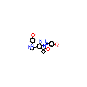 COc1ccc(CN2C(=O)C3(CCC3)c3cc(-c4ccnn4-c4ccc(OC)cc4)cc(N)c32)cc1